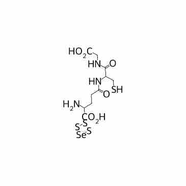 NC(CCC(=O)NC(CS)C(=O)NCC(=O)O)C(=O)O.S1S[Se]S1